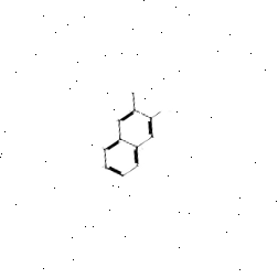 Cc1cc2ccccc2cc1S